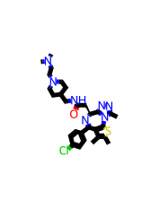 Cc1sc2c(c1C)C(c1ccc(Cl)cc1)=N[C@@H](CC(=O)NCC1CCN(CCN(C)C)CC1)c1nnc(C)n1-2